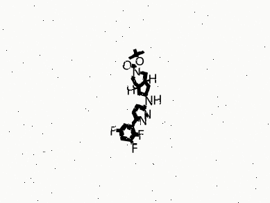 CC(C)(C)OC(=O)N1C[C@H]2CC(Nc3ccc(-c4cc(F)cc(F)c4F)nn3)C[C@H]2C1